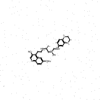 COc1ccc2ncc(C#N)c(CCN[C@@H](C)CN(CNc3ccc4c(c3)OCCO4)C(C)C)c2c1